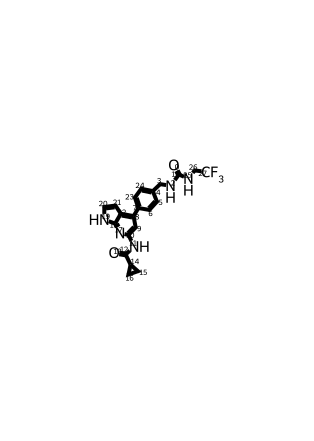 O=C(NCc1ccc(-c2cc(NC(=O)C3CC3)nc3[nH]ccc23)cc1)NCC(F)(F)F